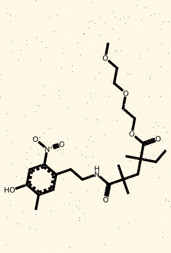 CCC(C)(CC(C)(C)C(=O)NCCc1cc(C)c(O)cc1[N+](=O)[O-])C(=O)OCCOCCOC